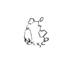 COc1ccc(/C=C/C(=O)c2cccc(CN3CCCN(C)CC3)c2)cc1